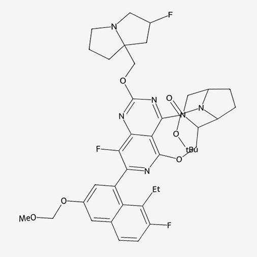 CCc1c(F)ccc2cc(OCOC)cc(-c3nc4c5c(nc(OCC67CCCN6CC(F)C7)nc5c3F)N3CC5CCC(C3CO4)N5C(=O)OC(C)(C)C)c12